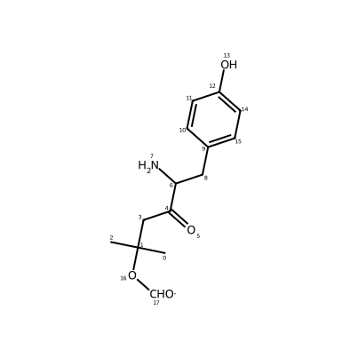 CC(C)(CC(=O)C(N)Cc1ccc(O)cc1)O[C]=O